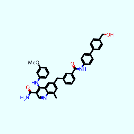 COc1cccc(Nc2c(C(N)=O)cnc3c(C)cc(Cc4cccc(C(=O)Nc5ccc(-c6ccc(CO)cc6)cc5)c4)cc23)c1